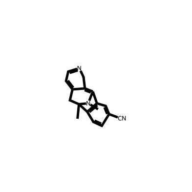 CN1C2=C3CN=CC=C3CC1(C)c1ccc(C#N)cc12